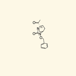 CC(=O)[C@@H]1CCC2CN1C(=O)N2OCc1ccccc1